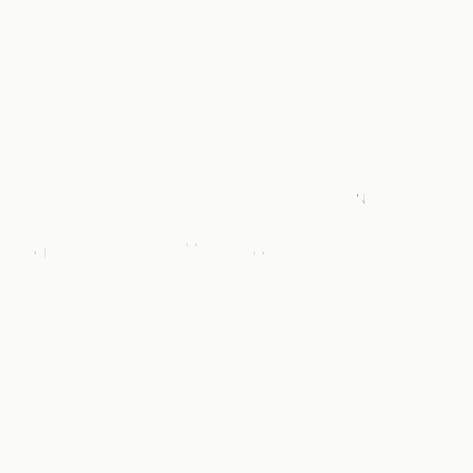 CCOC(=O)c1cn(CC)c2ccc(OCCOCCOCCCl)cc2c1=O